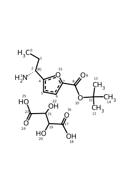 CC[C@@H](N)c1ccc(C(=O)OC(C)(C)C)o1.O=C(O)C(O)C(O)C(=O)O